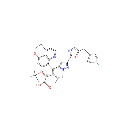 Cc1cn2nc(-c3ncc(Cc4ccc(F)cc4)o3)cc2c(-c2ccc3c4c(ccnc24)CCO3)c1[C@H](OC(C)(C)C)C(=O)O